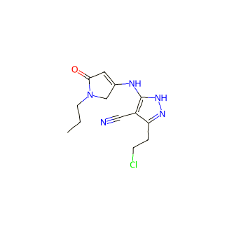 CCCN1CC(Nc2[nH]nc(CCCl)c2C#N)=CC1=O